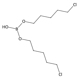 OB(OCCCCCCl)OCCCCCCl